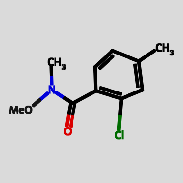 CON(C)C(=O)c1ccc(C)cc1Cl